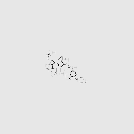 CN1CCN(Cc2ccc(NC(=O)Nc3ccc(-c4cn(CC(C)(C)O)c5ncnc(NC(=O)O)c45)n4ccnc34)cc2C(F)(F)F)CC1